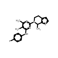 Cc1nc(N2CCc3ccsc3C2C)nc(Nc2ccc(F)cc2)c1C